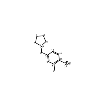 Cc1cc(CN2CCCC2)ccc1C(C)(C)C